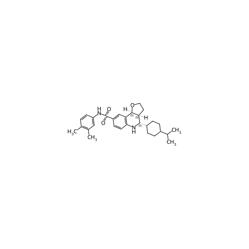 Cc1ccc(NS(=O)(=O)c2ccc3c(c2)[C@H]2OCC[C@H]2[C@H](C2CCC(C(C)C)CC2)N3)cc1C